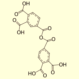 O=C(OC(=O)c1ccc(C(=O)O)c(C(=O)O)c1)c1ccc(C(=O)O)c(C(=O)O)c1